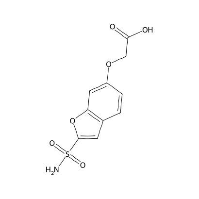 NS(=O)(=O)c1cc2ccc(OCC(=O)O)cc2o1